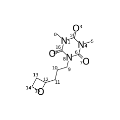 Cn1c(=O)n(C)c(=O)n(CCCC2CCO2)c1=O